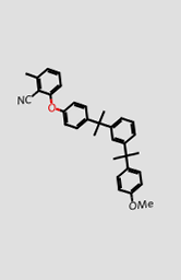 COc1ccc(C(C)(C)c2cccc(C(C)(C)c3ccc(Oc4cccc(C)c4C#N)cc3)c2)cc1